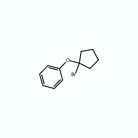 BrC1(Oc2ccccc2)CCCC1